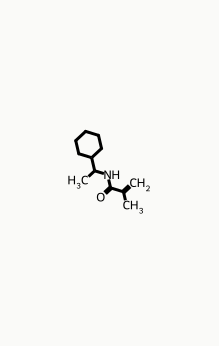 C=C(C)C(=O)NC(C)C1CCCCC1